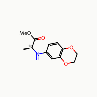 COC(=O)[C@H](C)Nc1ccc2c(c1)OCCO2